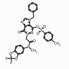 Cc1ccc(S(=O)(=O)Oc2nn(CC(=O)N(C)c3ccc4c(c3)OC(F)(F)O4)c(=O)c3ncn(Cc4ccccc4)c23)cc1